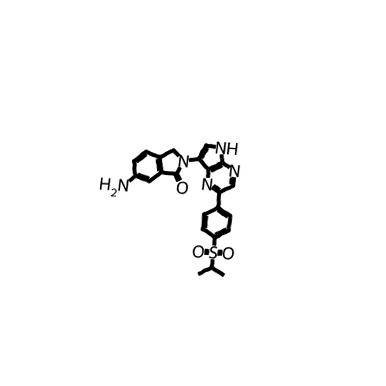 CC(C)S(=O)(=O)c1ccc(-c2cnc3[nH]cc(N4Cc5ccc(N)cc5C4=O)c3n2)cc1